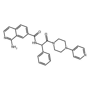 Nc1nccc2ccc(C(=O)NC(C(=O)N3CCN(c4ccncc4)CC3)c3ccccc3)cc12